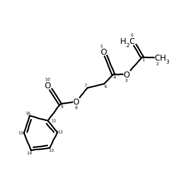 C=C(C)OC(=O)CCOC(=O)c1ccccc1